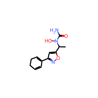 CC(c1cc(C2=CCCC=C2)no1)N(O)C(N)=O